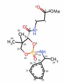 COC(=O)CCNC(=O)[C@@H]1OP(=O)(NC(C)c2ccccc2)OCC1(C)C